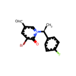 C[C@@H](c1ccc(F)cc1)n1cc(C=O)cc(Br)c1=O